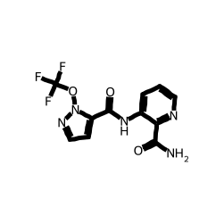 NC(=O)c1ncccc1NC(=O)c1ccnn1OC(F)(F)F